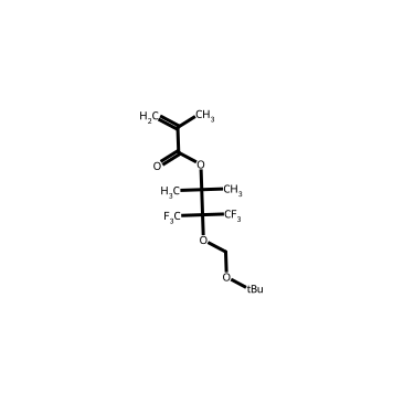 C=C(C)C(=O)OC(C)(C)C(OCOC(C)(C)C)(C(F)(F)F)C(F)(F)F